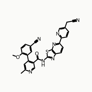 COc1ccc(C#N)cc1-c1cc(C)ncc1C(=O)Nc1nc2ccc(-c3ccc(CC#N)cn3)nc2s1